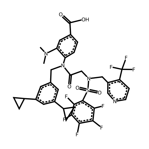 CN(C)c1cc(C(=O)O)ccc1N(Cc1cc(C2CC2)cc(C2CC2)c1)C(=O)CN(Cc1cnccc1C(F)(F)F)S(=O)(=O)c1c(F)c(F)c(F)c(F)c1F